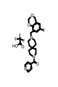 O=C(O)C(F)(F)F.O=C(c1ccncc1)N1CCC2(CCN(Cc3cc(F)cc4c3OCOC4)CC2)CC1